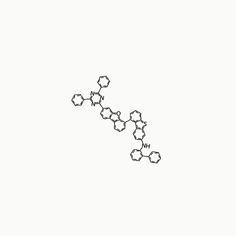 c1ccc(-c2nc(-c3ccccc3)nc(-c3ccc4c(c3)oc3c(-c5cccc6sc7cc(Nc8ccccc8-c8ccccc8)ccc7c56)cccc34)n2)cc1